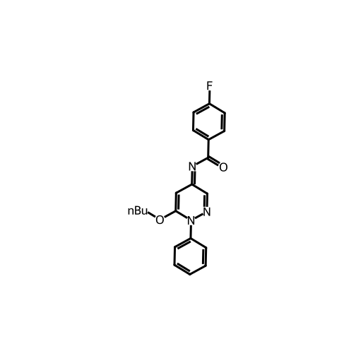 CCCCOc1cc(=NC(=O)c2ccc(F)cc2)cnn1-c1ccccc1